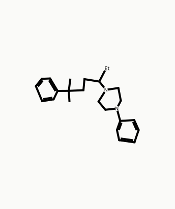 CCC(CCC(C)(C)c1ccccc1)N1CCN(c2ccccc2)CC1